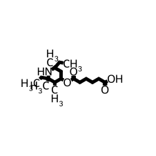 CCC1(C)CC(OC(=O)CCCCC(=O)O)C(C)C(C)(CC)N1